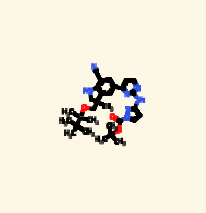 CC(C)(C)OC(=O)n1ccc(Nc2nccc(-c3cc(C#N)c4c(c3)C(C)(CO[Si](C)(C)C(C)(C)C)CN4)n2)n1